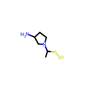 CC(SS)N1CCC(N)C1